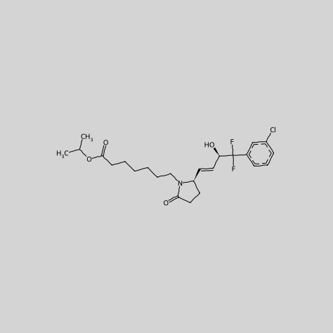 CC(C)OC(=O)CCCCCCN1C(=O)CC[C@@H]1/C=C/[C@@H](O)C(F)(F)c1cccc(Cl)c1